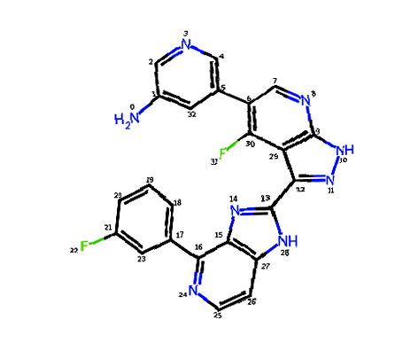 Nc1cncc(-c2cnc3[nH]nc(-c4nc5c(-c6cccc(F)c6)nccc5[nH]4)c3c2F)c1